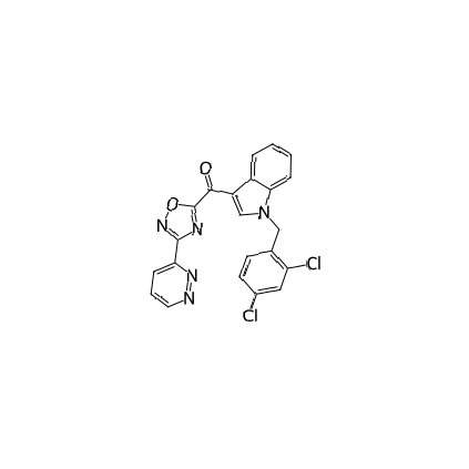 O=C(c1nc(-c2cccnn2)no1)c1cn(Cc2ccc(Cl)cc2Cl)c2ccccc12